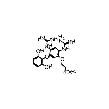 CCCCCCCCCCCCOc1ccc(NC(=N)N)cc1NC(=N)N.Oc1cccc(O)c1O